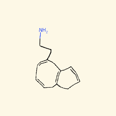 NCCc1cccc2c1C=CC2